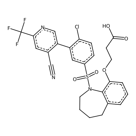 N#Cc1cc(C(F)(F)F)ncc1-c1cc(S(=O)(=O)N2CCCCc3cccc(OCCC(=O)O)c32)ccc1Cl